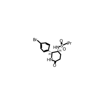 CC(C)S(=O)(=O)N[C@@H]1CCC(=O)N[C@@H]1c1ccc(Br)cc1